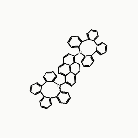 c1ccc2c(c1)c1ccccc1c1ccccc1n(-c1ccc3ccc4c(-n5c6ccccc6c6ccccc6c6ccccc6c6ccccc65)ccc5c4c3c1CC5)c1ccccc21